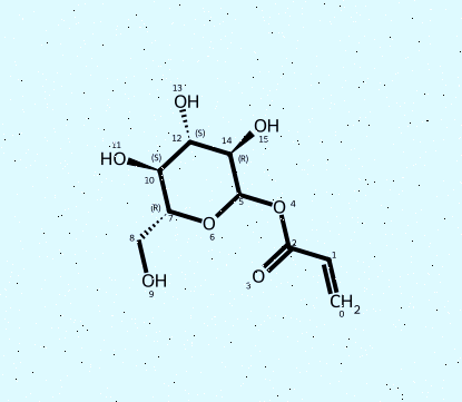 C=CC(=O)OC1O[C@H](CO)[C@@H](O)[C@H](O)[C@H]1O